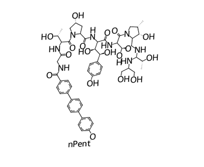 CCCCCOc1ccc(-c2ccc(-c3ccc(C(=O)NCC(=O)NC(C(=O)N4C[C@H](O)CC4C(=O)NC(C(=O)NC(C(=O)N4C[C@H](C)[C@H](O)C4C(=O)NC(NC(CO)CO)[C@@H](C)O)[C@@H](C)O)[C@H](O)[C@@H](O)c4ccc(O)cc4)[C@@H](C)O)cc3)cc2)cc1